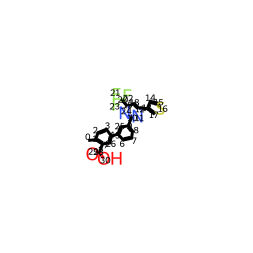 Cc1ccc(-c2cccc(-c3nc(-c4ccsc4)cc(C(F)(F)F)n3)c2)cc1C(=O)O